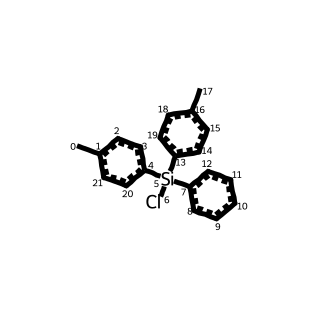 Cc1ccc([Si](Cl)(c2ccccc2)c2ccc(C)cc2)cc1